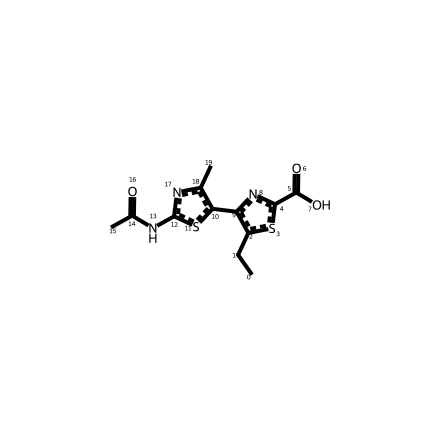 CCc1sc(C(=O)O)nc1-c1sc(NC(C)=O)nc1C